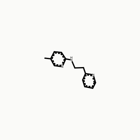 Cc1ccc(NCCc2ccccn2)nc1